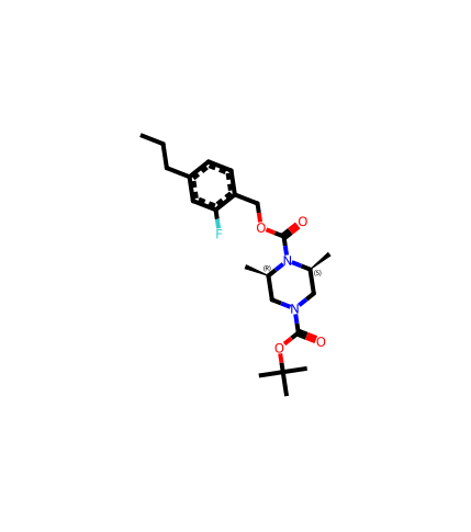 CCCc1ccc(COC(=O)N2[C@H](C)CN(C(=O)OC(C)(C)C)C[C@@H]2C)c(F)c1